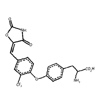 NC(Cc1ccc(Oc2ccc(C=C3OC(=O)NC3=O)cc2C(F)(F)F)cc1)C(=O)O